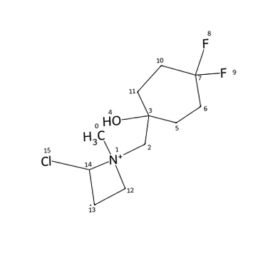 C[N+]1(CC2(O)CCC(F)(F)CC2)C[CH]C1Cl